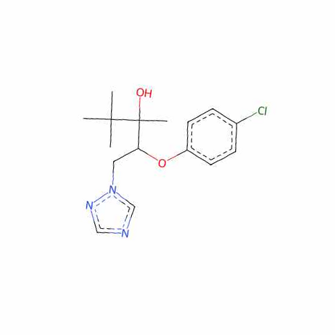 CC(C)(C)C(C)(O)C(Cn1cncn1)Oc1ccc(Cl)cc1